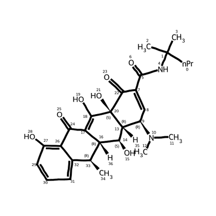 CCCC(C)(C)NC(=O)C1=C[C@@H](N(C)C)[C@@H]2[C@@H](O)[C@H]3C(=C(O)[C@]2(O)C1=O)C(=O)c1c(O)cccc1[C@@H]3C